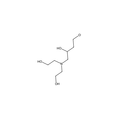 [O]CCC(O)CN(CCO)CCO